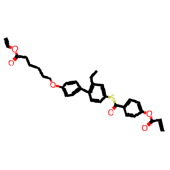 C=COC(=O)CCCCCOc1ccc(-c2ccc(SC(=O)c3ccc(OC(=O)C=C)cc3)cc2CC)cc1